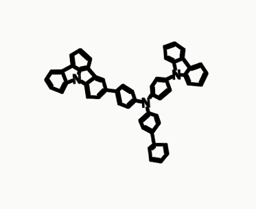 c1ccc(-c2ccc(N(c3ccc(-c4ccc5c(c4)c4cccc6c7ccccc7n5c64)cc3)c3ccc(-n4c5ccccc5c5ccccc54)cc3)cc2)cc1